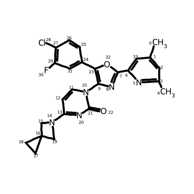 Cc1cc(C)nc(-c2nc(-n3ccc(N4CC5(CC5)C4)nc3=O)c(-c3ccc(Cl)c(F)c3)o2)c1